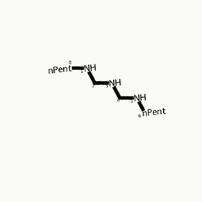 CCCCCNCNCNCCCCC